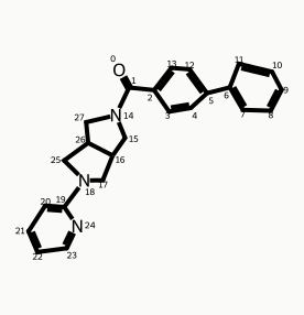 O=C(c1ccc(-c2ccccc2)cc1)N1CC2CN(c3ccccn3)CC2C1